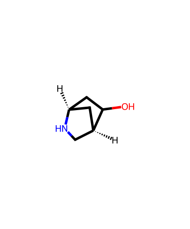 OC1C[C@H]2C[C@@H]1CN2